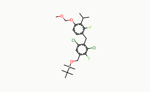 COCOc1ccc(Cc2c(Cl)cc(CO[Si](C)(C)C(C)(C)C)c(F)c2Cl)c(F)c1C(C)C